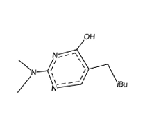 CCC(C)Cc1cnc(N(C)C)nc1O